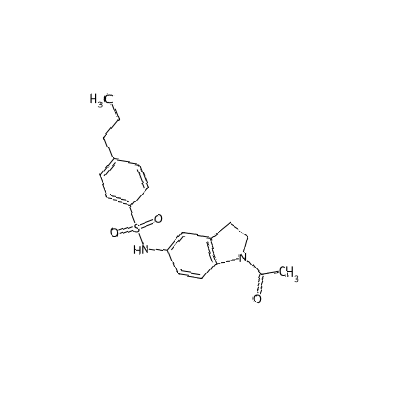 CCCc1ccc(S(=O)(=O)Nc2ccc3c(c2)CCN3C(C)=O)cc1